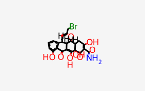 NC(=O)C1=C(O)C[C@@H]2[C@H]3OC(CBr)=C[C@H]4c5cccc(O)c5C(=O)C(=C(O)[C@]2(O)C1=O)[C@H]34